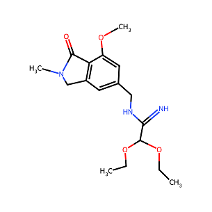 CCOC(OCC)C(=N)NCc1cc2c(c(OC)c1)C(=O)N(C)C2